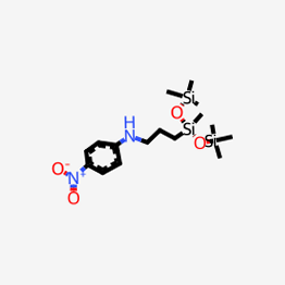 C[Si](C)(C)O[Si](C)(CCCNc1ccc([N+](=O)[O-])cc1)O[Si](C)(C)C